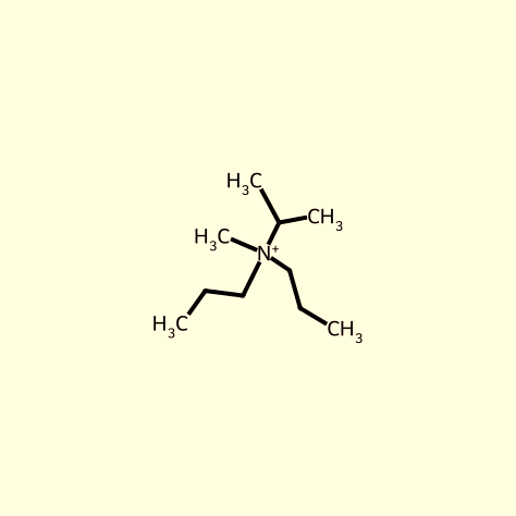 CCC[N+](C)(CCC)C(C)C